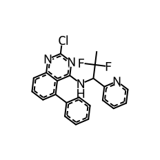 CC(F)(F)C(Nc1nc(Cl)nc2cccc(-c3ccccc3)c12)c1ccccn1